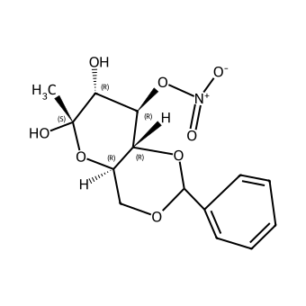 C[C@]1(O)O[C@@H]2COC(c3ccccc3)O[C@H]2[C@H](O[N+](=O)[O-])[C@H]1O